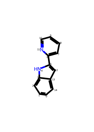 [c]1ccc2[nH]c(-c3ccccn3)cc2c1